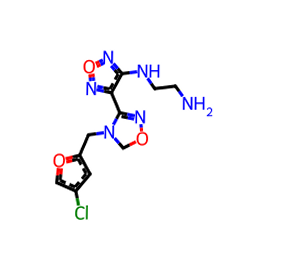 NCCNc1nonc1C1=NOCN1Cc1cc(Cl)co1